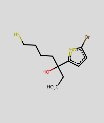 O=C(O)CC(O)(CCCCS)c1ccc(Br)s1